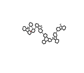 c1ccc(-c2cccc3sc4cc(-c5ccc6c(c5)c5ccccc5c5ccc(-n7c8ccccc8c8cc(-c9ccc%10sc%11ccccc%11c%10c9)ccc87)cc56)ccc4c23)c(-c2ccccc2-n2c3ccccc3c3ccccc32)c1